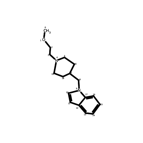 COCCN1CCC(Cn2[c]cc3ccccc32)CC1